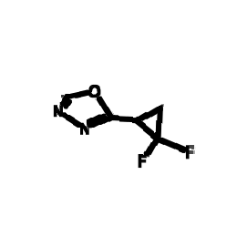 FC1(F)CC1c1nn[c]o1